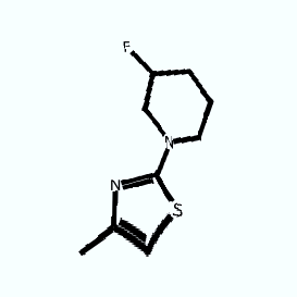 Cc1csc(N2CCCC(F)C2)n1